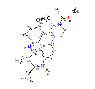 CC(=O)N1c2ccc(N3CCN(C(=O)OC(C)(C)C)[C@@H](C)C3)cc2[C@H](Nc2ccc(C#N)cn2)[C@@H](C)[C@@H]1C1CC1